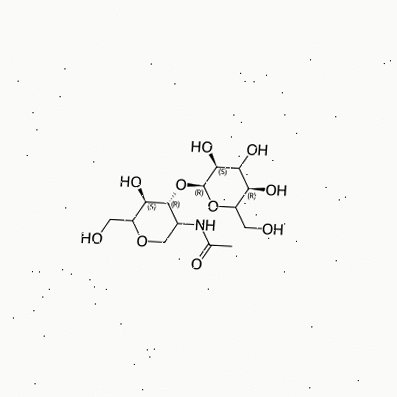 CC(=O)NC1COC(CO)[C@@H](O)[C@@H]1O[C@@H]1OC(CO)[C@H](O)C(O)[C@@H]1O